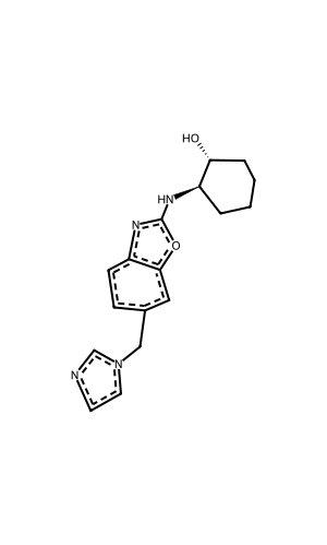 O[C@@H]1CCCC[C@H]1Nc1nc2ccc(Cn3ccnc3)cc2o1